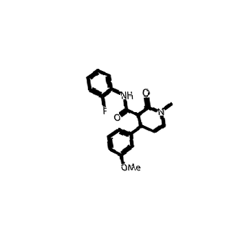 COc1cccc(C2CCN(C)C(=O)C2C(=O)Nc2ccccc2F)c1